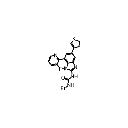 CCNC(=O)Nc1nc2cc(C3=CSCC3)cc(-c3ncccc3F)c2[nH]1